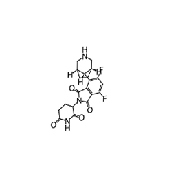 O=C1CCC(N2C(=O)c3c(F)cc(F)c([C@@H]4[C@@H]5CC[C@H]4CNC5)c3C2=O)C(=O)N1